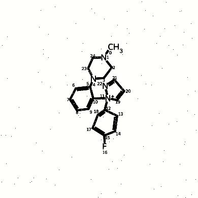 CN1CCN(c2ccccc2[N+]2(c3ccc(F)cc3)C=CC=N2)CC1